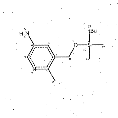 Cc1ncc(N)cc1CO[Si](C)(C)C(C)(C)C